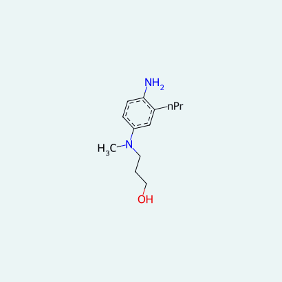 CCCc1cc(N(C)CCCO)ccc1N